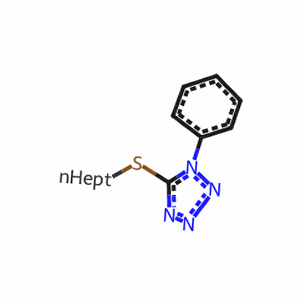 CCCCCCCSc1nnnn1-c1ccccc1